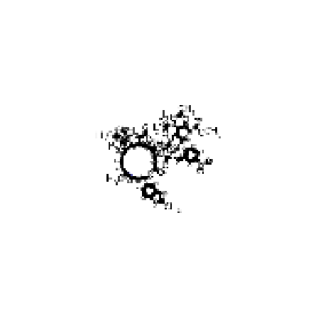 C=CC[C@H]1C(=O)C(C)(C)[C@@H](OC(=O)OCc2cc([N+](=O)[O-])ccc2O[C@@H]2O[C@H](C(=O)OC)[C@@H](OC(C)=O)[C@H](OC(C)=O)[C@H]2OC(C)=O)CC(=O)O[C@H](c2ccc3sc(C)nc3c2)C/C=C(/C)CCC[C@H](C)[C@@H]1O[Si](C)(C)C(C)(C)C